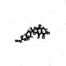 Cc1c2c(c(Br)c3c1C(=O)NCC3)OC(C)([C@H]1CC[C@H](NC(=O)OC(C)(C)C)CC1)O2